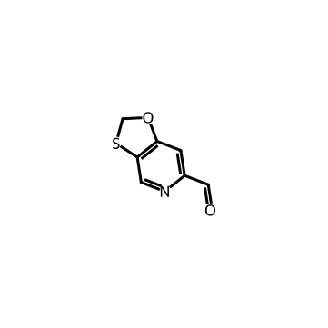 O=Cc1cc2c(cn1)SCO2